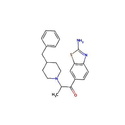 CC(C(=O)c1ccc2nc(N)sc2c1)N1CCC(Cc2ccccc2)CC1